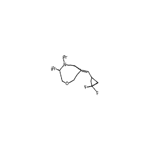 CC(C)C1COC/C(=C\C2CC2(F)F)CN1C(C)C